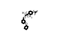 CC(C)(COCc1cccc(Oc2ccccc2)c1)c1ccc(SC(F)F)cc1